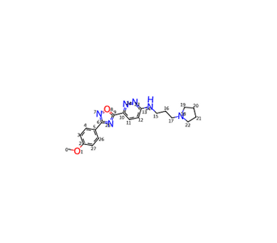 COc1ccc(-c2noc(-c3ccc(NCCCN4CCCC4)nn3)n2)cc1